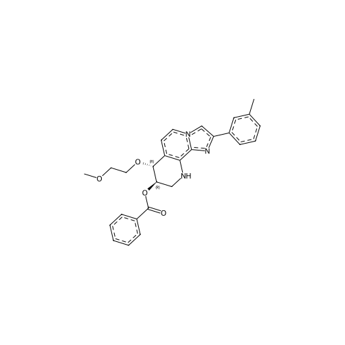 COCCO[C@@H]1c2ccn3cc(-c4cccc(C)c4)nc3c2NC[C@H]1OC(=O)c1ccccc1